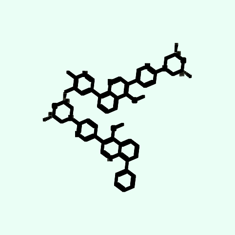 COc1c(-c2ccc(N3C[C@@H](Cc4cc(-c5cccc6c(OC)c(-c7ccc(N8C[C@@H](C)O[C@@H](C)C8)nc7)cnc56)cnc4C)O[C@@H](C)C3)nc2)cnc2c(-c3ccccc3)cccc12